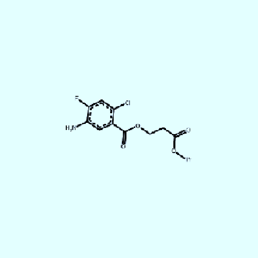 CC(C)OC(=O)CCOC(=O)c1cc(N)c(F)cc1Cl